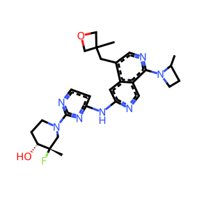 CC1CCN1c1ncc(CC2(C)COC2)c2cc(Nc3ccnc(N4CC[C@@H](O)[C@@](C)(F)C4)n3)ncc12